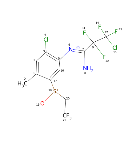 Cc1cc(Cl)c(/N=C(\N)C(F)(F)C(F)(F)Cl)cc1[S+]([O-])CC(F)(F)F